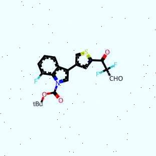 CC(C)(C)OC(=O)n1cc(-c2csc(C(=O)C(F)(F)C=O)c2)c2cccc(F)c21